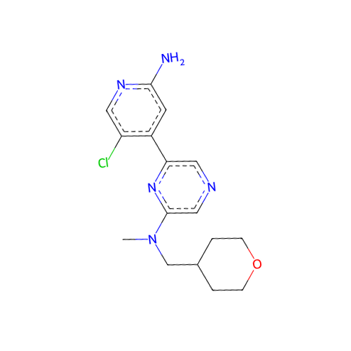 CN(CC1CCOCC1)c1cncc(-c2cc(N)ncc2Cl)n1